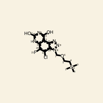 C[Si](C)(C)CCOCn1nnc2c3c(O)nc(O)nc3c(F)c(Cl)c21